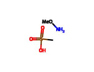 CON.CS(=O)(=O)O